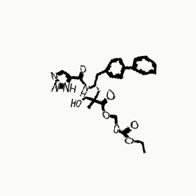 CCOC(=O)OCOC(=O)C(C)(CO)C[C@@H](Cc1ccc(-c2ccccc2)cc1)NC(=O)c1cnn[nH]1